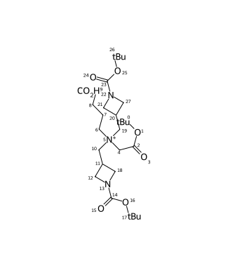 CC(C)(C)OC(=O)C[N+](CCCC(=O)O)(CC1CN(C(=O)OC(C)(C)C)C1)CC1CN(C(=O)OC(C)(C)C)C1